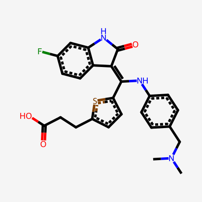 CN(C)Cc1ccc(N/C(=C2\C(=O)Nc3cc(F)ccc32)c2ccc(CCC(=O)O)s2)cc1